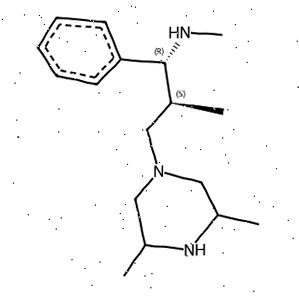 CN[C@@H](c1ccccc1)[C@@H](C)CN1CC(C)NC(C)C1